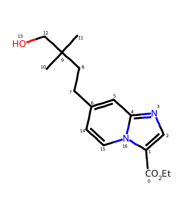 CCOC(=O)c1cnc2cc(CCC(C)(C)CO)ccn12